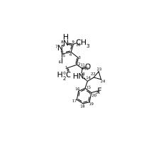 C=C/C(=C\c1c(I)n[nH]c1C)C(=O)N[C@H](c1ccccc1F)C1CC1